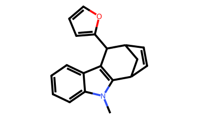 Cn1c2c(c3ccccc31)C(c1ccco1)C1C=CC2C1